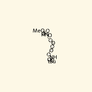 COC(=O)c1ccccc1NC(=O)Cc1ccc(Oc2ccc(OCc3cccc(NC(=O)OC(C)(C)C)c3)cc2)cc1